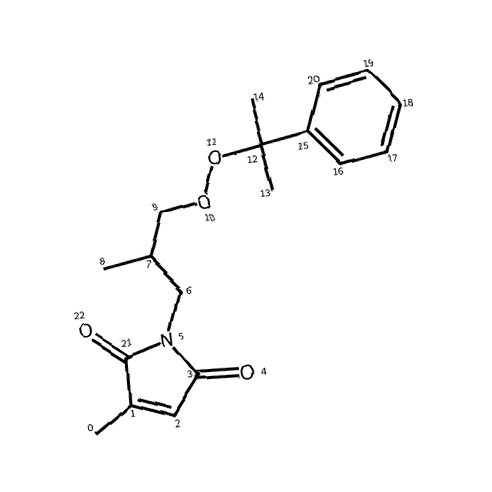 CC1=CC(=O)N(CC(C)COOC(C)(C)c2ccccc2)C1=O